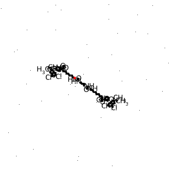 CN(C)[C@H]1Cc2c(Cl)cc(Cl)cc2[C@@H]1Oc1ccc(N(CCCCCCCCNC(=O)NCCCCNC(=O)NCCCCCCCCN(c2ccc(O[C@H]3c4cc(Cl)cc(Cl)c4C[C@@H]3N(C)C)cc2)[SH](=O)=O)[SH](=O)=O)cc1